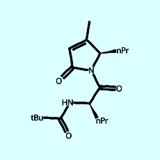 CCC[C@@H]1C(C)=CC(=O)N1C(=O)[C@@H](CCC)NC(=O)C(C)(C)C